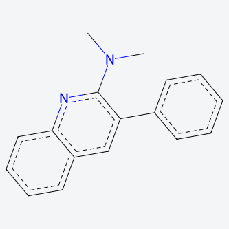 CN(C)c1nc2ccccc2cc1-c1ccccc1